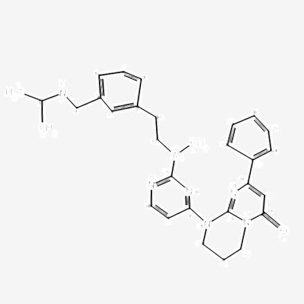 CC(C)NCc1cccc(CC[As](C)c2nccc(N3CCCn4c3nc(-c3ccccc3)cc4=O)n2)c1